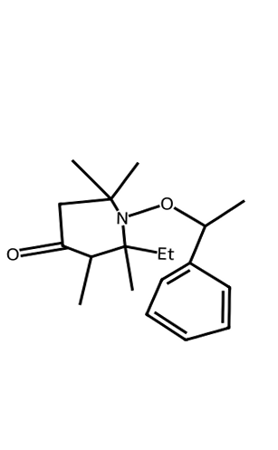 CCC1(C)C(C)C(=O)CC(C)(C)N1OC(C)c1ccccc1